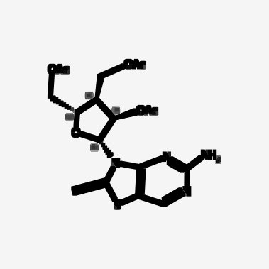 C=C1Sc2cnc(N)nc2N1[C@@H]1O[C@H](COC(C)=O)[C@@H](COC(C)=O)[C@H]1OC(C)=O